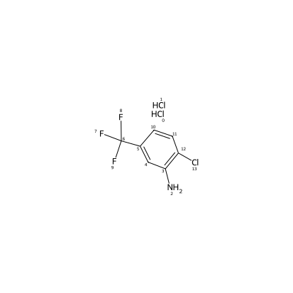 Cl.Cl.Nc1cc(C(F)(F)F)ccc1Cl